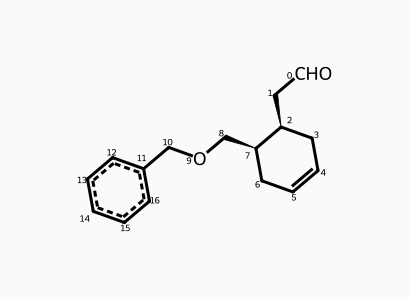 O=CC[C@H]1CC=CC[C@H]1COCc1ccccc1